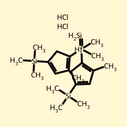 CC1=[C]([Hf]([CH3])([CH3])(=[SiH2])[C]2=C(C)C=C([Si](C)(C)C)C2)CC([Si](C)(C)C)=C1.Cl.Cl